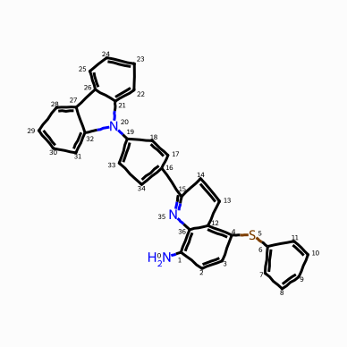 Nc1ccc(Sc2ccccc2)c2ccc(-c3ccc(-n4c5ccccc5c5ccccc54)cc3)nc12